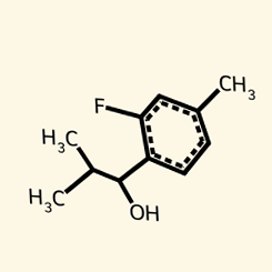 Cc1ccc(C(O)C(C)C)c(F)c1